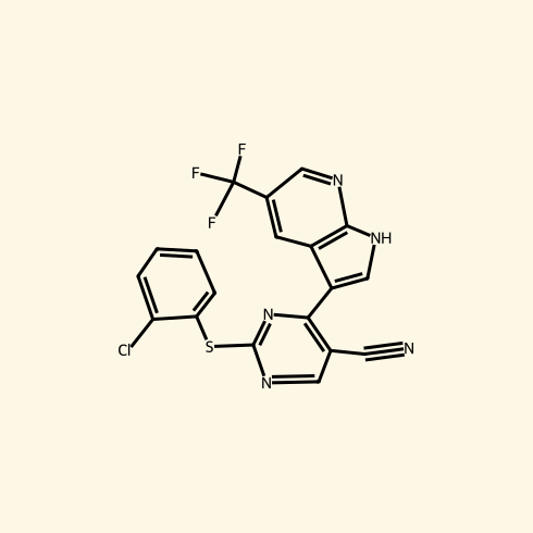 N#Cc1cnc(Sc2ccccc2Cl)nc1-c1c[nH]c2ncc(C(F)(F)F)cc12